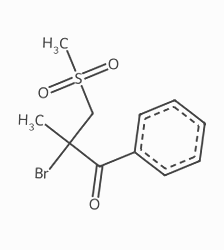 CC(Br)(CS(C)(=O)=O)C(=O)c1ccccc1